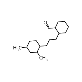 CC1CCC(CCCC2CCCCC2C=O)C(C)C1